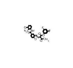 CC(=O)C(N=Nc1cc(C(=O)Nc2cccc(Cl)c2C)ccc1Cl)C(=O)Oc1cc(F)cc(F)c1